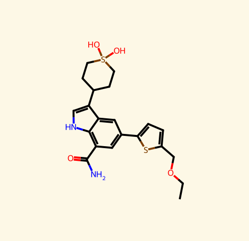 CCOCc1ccc(-c2cc(C(N)=O)c3[nH]cc(C4CCS(O)(O)CC4)c3c2)s1